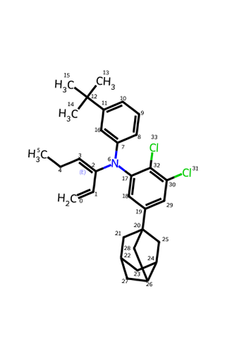 C=C/C(=C\CC)N(c1cccc(C(C)(C)C)c1)c1cc(C23CC4CC(C2)C(C4)C3)cc(Cl)c1Cl